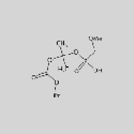 COCP(=O)(O)OC(C)(C)OC(=O)OC(C)C